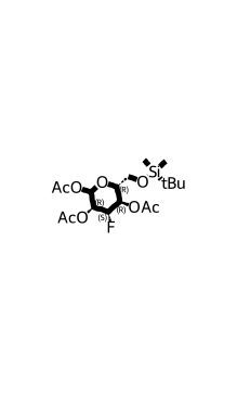 CC(=O)OC1O[C@H](CO[Si](C)(C)C(C)(C)C)[C@@H](OC(C)=O)[C@H](F)[C@@H]1OC(C)=O